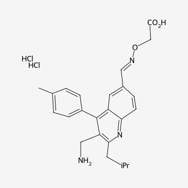 Cc1ccc(-c2c(CN)c(CC(C)C)nc3ccc(/C=N/OCC(=O)O)cc23)cc1.Cl.Cl